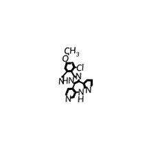 CCOc1cc(Cl)c(-c2nc3c([nH]2)-c2ccncc2Nc2ncccc2-3)c(C#N)c1